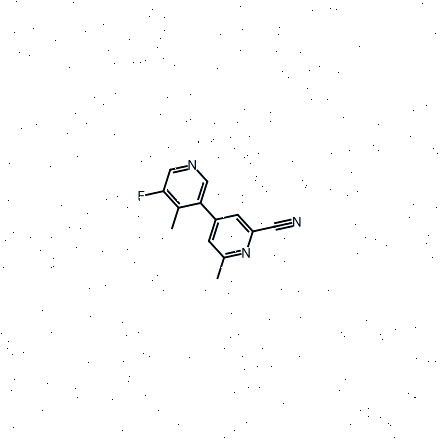 Cc1cc(-c2cncc(F)c2C)cc(C#N)n1